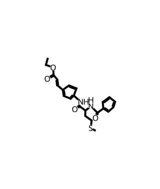 CCOC(=O)C=Cc1ccc(NC(=O)C(CCSC)NC(=O)c2ccccc2)cc1